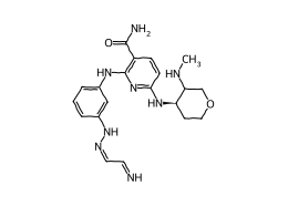 CNC1COCC[C@H]1Nc1ccc(C(N)=O)c(Nc2cccc(N/N=C\C=N)c2)n1